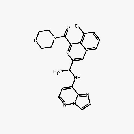 C[C@H](Nc1ccnn2ccnc12)c1cc2cccc(Cl)c2c(C(=O)N2CCOCC2)n1